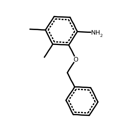 Cc1ccc(N)c(OCc2ccccc2)c1C